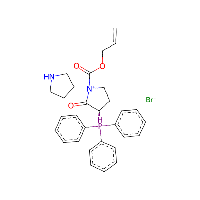 C=CCOC(=O)[N@+]1(C2CCNC2)CC[C@@H]([PH](c2ccccc2)(c2ccccc2)c2ccccc2)C1=O.[Br-]